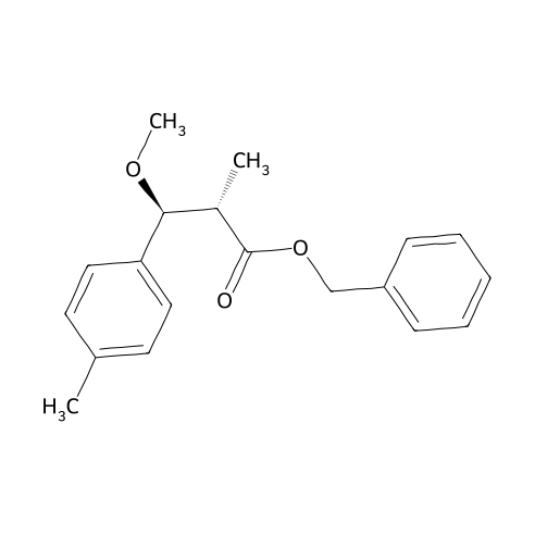 CO[C@H](c1ccc(C)cc1)[C@H](C)C(=O)OCc1ccccc1